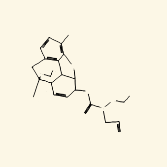 CCON(CC=O)C(=O)OC1C=C[C@H]2[C@H]3Cc4ccc(O)c5c4[C@@]2(CCN3C)C1O5